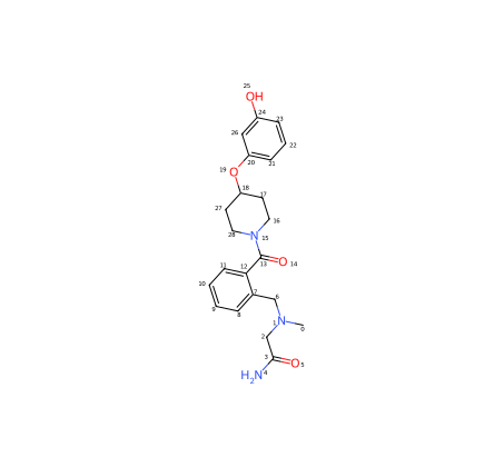 CN(CC(N)=O)Cc1ccccc1C(=O)N1CCC(Oc2cccc(O)c2)CC1